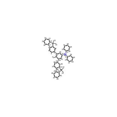 Cc1c(-c2ccc3c(c2)C(C)(C)c2ccccc2-3)cc(N(c2ccccc2)c2ccccc2)cc1-c1ccc2c(c1)C(C)(C)c1ccccc1-2